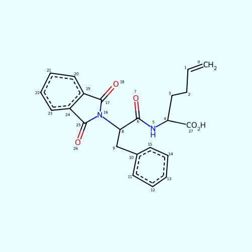 C=CCCC(NC(=O)C(Cc1ccccc1)N1C(=O)c2ccccc2C1=O)C(=O)O